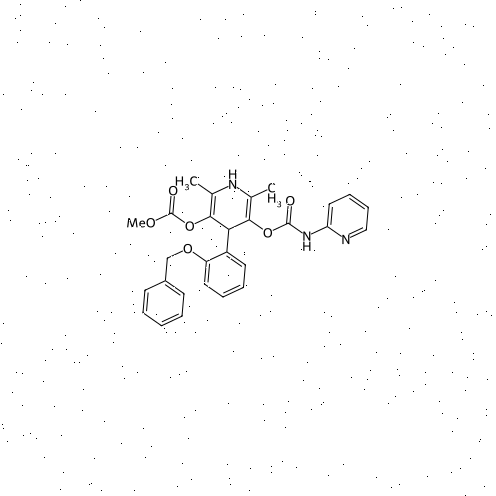 COC(=O)OC1=C(C)NC(C)=C(OC(=O)Nc2ccccn2)C1c1ccccc1OCc1ccccc1